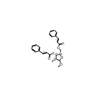 COC1O[C@H](COC(=O)/C=C/c2ccccc2)[C@@H](OC(=O)/C=C/c2ccccc2)[C@@H]1F